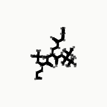 [2H]C([2H])([2H])O[C@@H](CCSC)C(=O)N[C@@H](CCC(=O)C=[N+]=[N-])C(=O)OC([2H])(C([2H])([2H])[2H])C([2H])([2H])[2H]